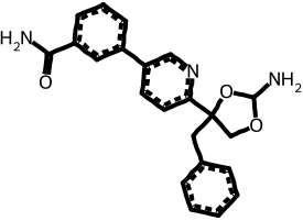 NC(=O)c1cccc(-c2ccc(C3(Cc4ccccc4)COC(N)O3)nc2)c1